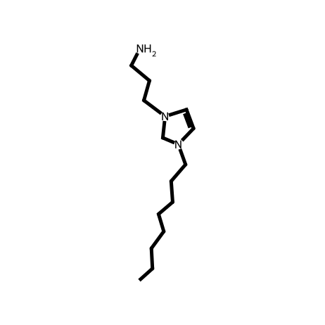 CCCCCCCCN1C=CN(CCCN)C1